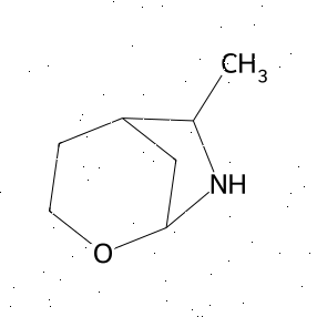 CC1NC2CC1CCO2